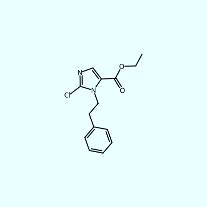 CCOC(=O)c1cnc(Cl)n1CCc1ccccc1